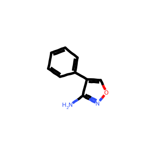 Nc1nocc1-c1ccccc1